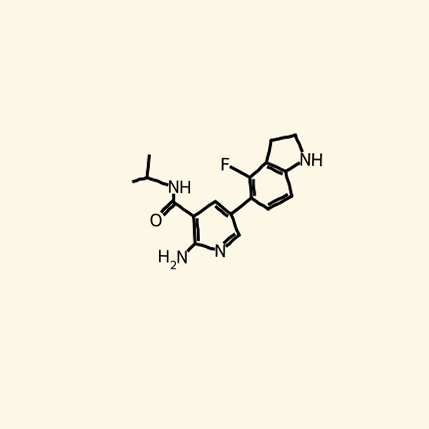 CC(C)NC(=O)c1cc(-c2ccc3c(c2F)CCN3)cnc1N